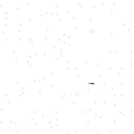 N[C@@H](Cc1cc2c(c(F)c1F)COB2O)C(=O)O